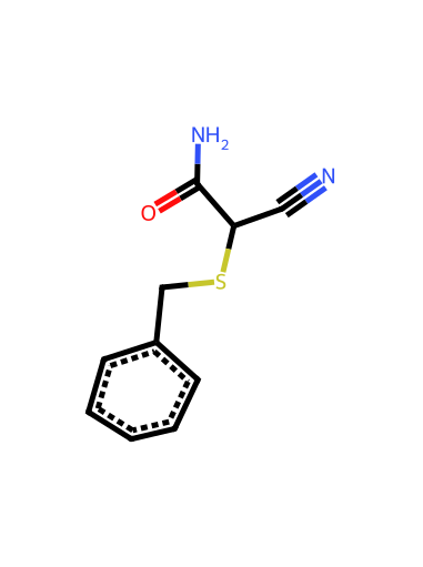 N#CC(SCc1ccccc1)C(N)=O